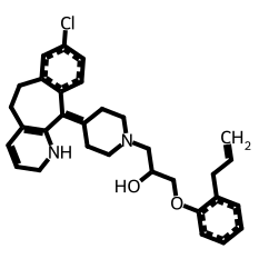 C=CCc1ccccc1OCC(O)CN1CCC(=C2C3=C(C=CCN3)CCc3cc(Cl)ccc32)CC1